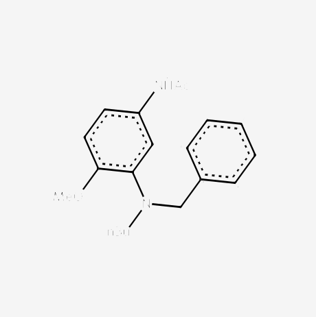 CCCCN(Cc1ccccc1)c1cc(NC(C)=O)ccc1OC